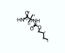 CCCCOC(=O)NC(C)(C)C([NH])=O